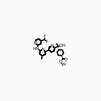 Cc1cc(Nc2cc(C(F)F)ccn2)nc(-c2ccc(C(C)(O)[C@H]3CC[C@H](C(=O)OC(C)C)CC3)nc2)c1